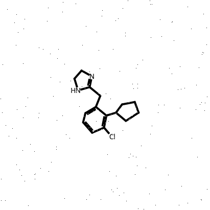 Clc1cccc(CC2=NCCN2)c1C1CCCC1